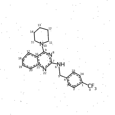 FC(F)(F)c1ccc(CNc2nc(N3CCCCC3)c3ccccc3n2)cc1